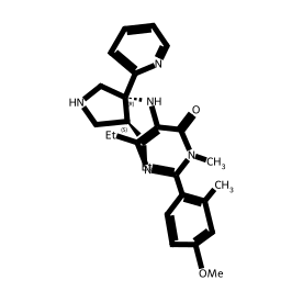 CCO[C@H]1CNC[C@@]1(Nc1c(CC)nc(-c2ccc(OC)cc2C)n(C)c1=O)c1ccccn1